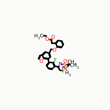 CCOC(=O)Cc1ccccc1OCc1cc(-c2cccc(C(CF)=NS(=O)(=O)C(C)(C)C)c2F)c2occc2c1